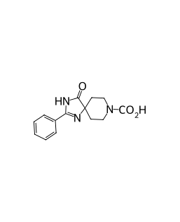 O=C(O)N1CCC2(CC1)N=C(c1ccccc1)NC2=O